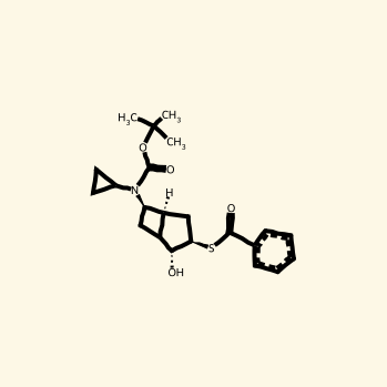 CC(C)(C)OC(=O)N(C1CC1)[C@@H]1CC2[C@@H](O)[C@H](SC(=O)c3ccccc3)C[C@@H]21